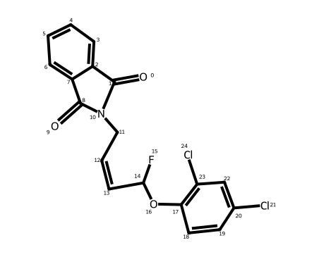 O=C1c2ccccc2C(=O)N1C/C=C\C(F)Oc1ccc(Cl)cc1Cl